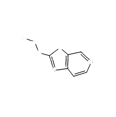 SSOc1nc2ccncc2s1